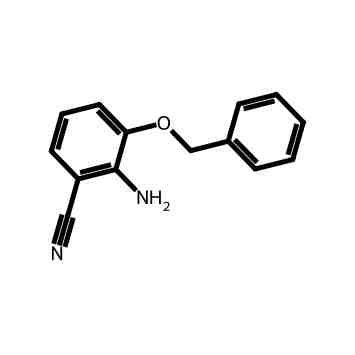 N#Cc1cccc(OCc2ccccc2)c1N